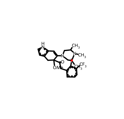 COC1(C(=O)Cc2cccc(C(F)(F)F)c2F)Cc2cc[nH]c2C=C1N1CC(C)N(C)C(C)C1